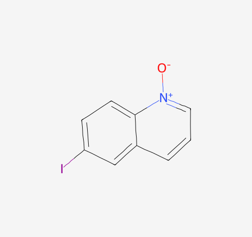 [O-][n+]1cccc2cc(I)ccc21